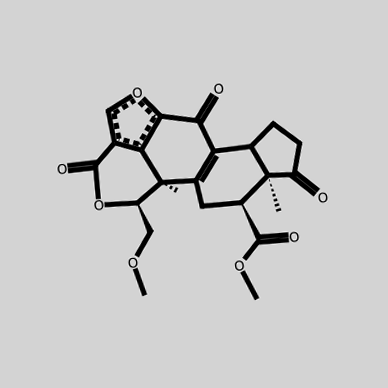 COC[C@H]1OC(=O)c2coc3c2[C@@]1(C)C1=C(C3=O)C2CCC(=O)[C@@]2(C)[C@@H](C(=O)OC)C1